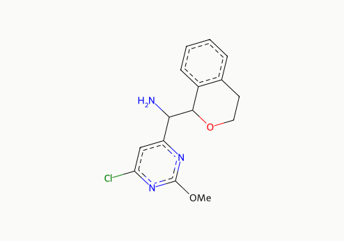 COc1nc(Cl)cc(C(N)C2OCCc3ccccc32)n1